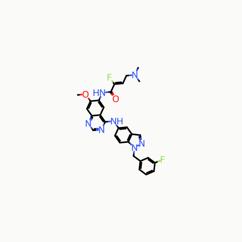 COc1cc2ncnc(Nc3ccc4c(cnn4Cc4cccc(F)c4)c3)c2cc1NC(=O)C(F)=CCN(C)C